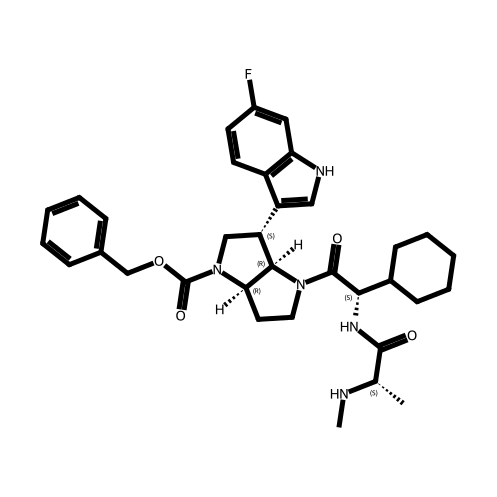 CN[C@@H](C)C(=O)N[C@H](C(=O)N1CC[C@@H]2[C@H]1[C@@H](c1c[nH]c3cc(F)ccc13)CN2C(=O)OCc1ccccc1)C1CCCCC1